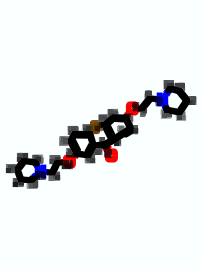 O=c1c2ccc(OCCN3CCCCC3)cc2sc2ccc(OCCN3CCCCC3)cc12